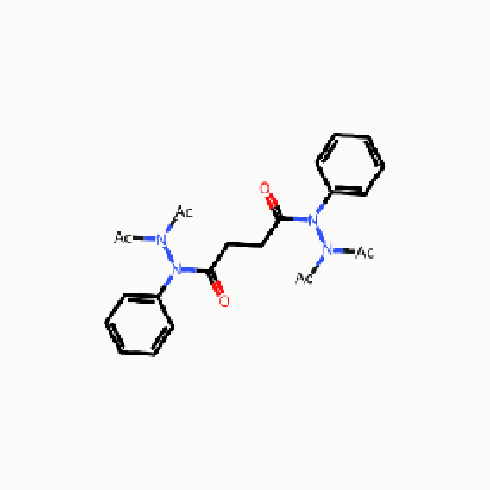 CC(=O)N(C(C)=O)N(C(=O)CCC(=O)N(c1ccccc1)N(C(C)=O)C(C)=O)c1ccccc1